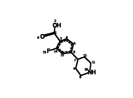 O=C(O)c1ccc(C2CCNCC2)cc1F